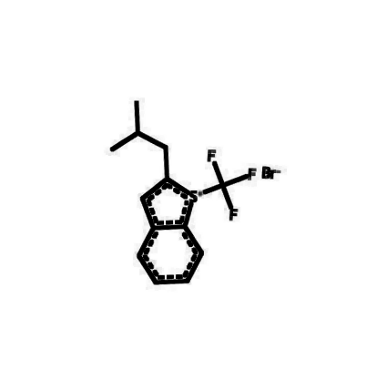 CC(C)Cc1cc2ccccc2[s+]1C(F)(F)F.[Br-]